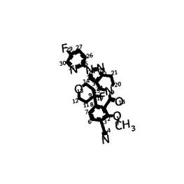 COc1c(C#N)ccc(C2(F)CCOCC2)c1C(=O)N1CCc2nn(-c3ccc(F)cn3)cc2C1